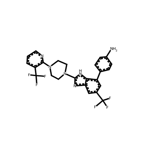 Nc1ccc(-c2cc(C(F)(F)F)cc3nc(N4CCN(c5ncccc5C(F)(F)F)CC4)[nH]c23)cc1